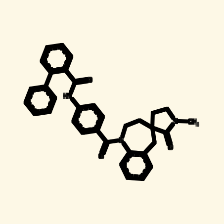 CN1CCC2(CCN(C(=O)c3ccc(NC(=O)c4ccccc4-c4ccccc4)cc3)c3ccccc3C2)C1=O